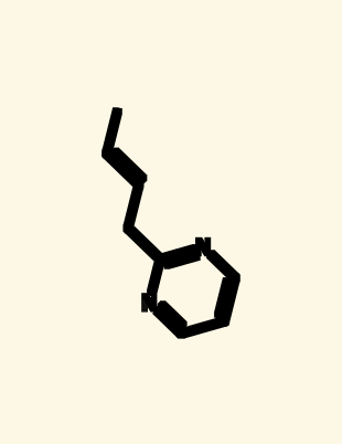 CC=CCc1ncccn1